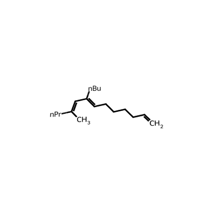 C=CCCCCC=C(C=C(C)CCC)CCCC